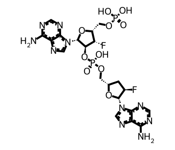 Nc1ncnc2c1ncn2[C@@H]1O[C@H](COP(=O)(O)O)[C@H](F)[C@H]1OP(=O)(O)OC[C@@H]1C[C@@H](F)[C@H](n2cnc3c(N)ncnc32)O1